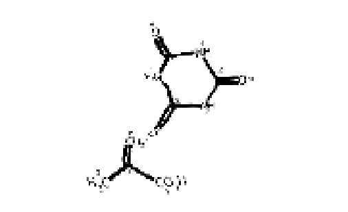 C=C(C)C(=O)O.O=c1[nH]c(=O)[nH]c(=O)[nH]1